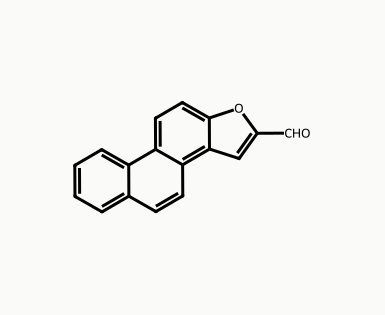 O=Cc1cc2c(ccc3c4ccccc4ccc23)o1